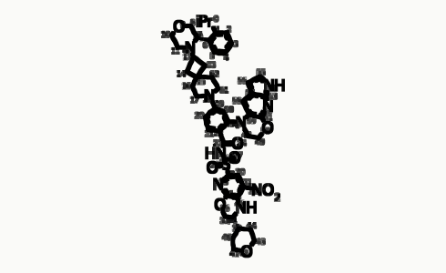 CC(C)c1ccccc1[C@@H]1COCCN1C1CC2(CCN(c3ccc(C(=O)NS(=O)(=O)c4cc([N+](=O)[O-])c5c(n4)OC[C@@H](C4CCOCC4)N5)c(N4CCOc5nc6[nH]ccc6cc54)c3)CC2)C1